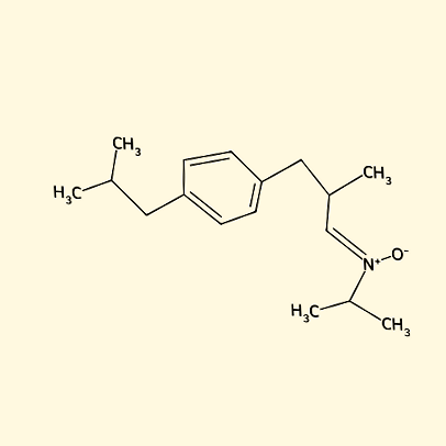 CC(C)Cc1ccc(CC(C)C=[N+]([O-])C(C)C)cc1